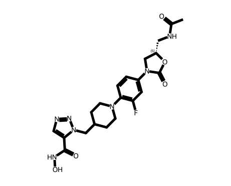 CC(=O)NC[C@H]1CN(c2ccc(N3CCC(Cn4nncc4C(=O)NO)CC3)c(F)c2)C(=O)O1